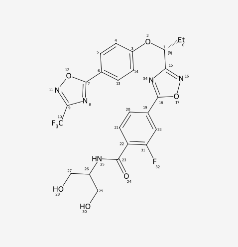 CC[C@@H](Oc1ccc(-c2nc(C(F)(F)F)no2)cc1)c1noc(-c2ccc(C(=O)NC(CO)CO)c(F)c2)n1